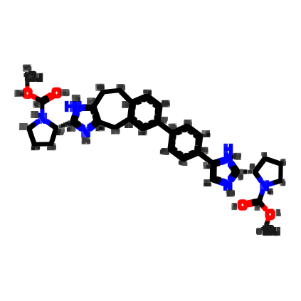 CC(C)(C)OC(=O)N1CCC[C@H]1c1ncc(-c2ccc(-c3ccc4c(c3)Cc3nc([C@@H]5CCCN5C(=O)OC(C)(C)C)[nH]c3CC4)cc2)[nH]1